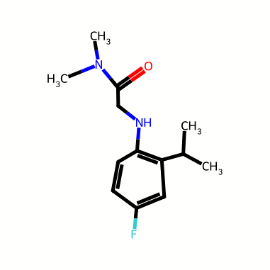 CC(C)c1cc(F)ccc1NCC(=O)N(C)C